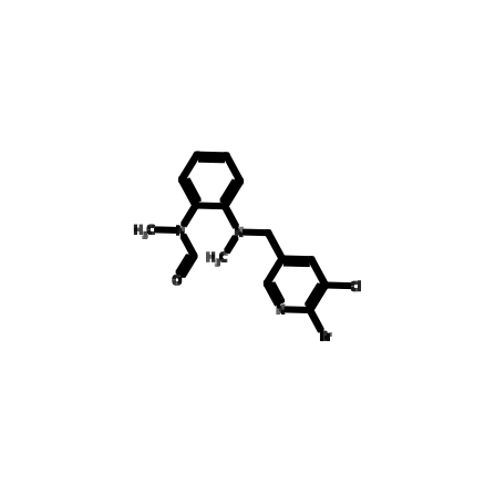 CN(C=O)c1ccccc1N(C)Cc1cnc(Br)c(Cl)c1